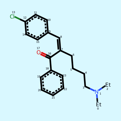 CCN(CC)CCCCC(=Cc1ccc(Cl)cc1)C(=O)c1ccccc1